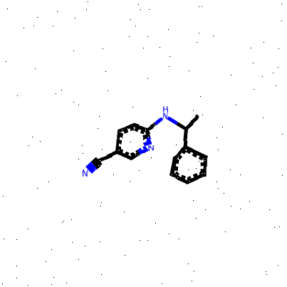 CC(Nc1ccc(C#N)cn1)c1ccccc1